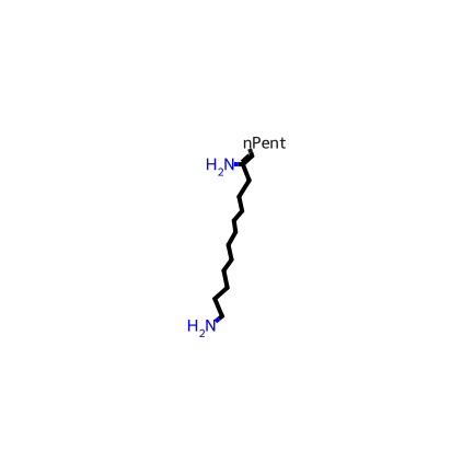 CCCCCC=C(N)CCCCCCCCCCCN